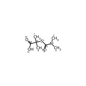 CN(C)C(=S)SC(C)(C)C(=O)O